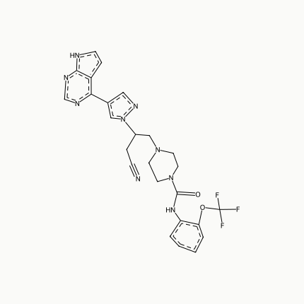 N#CCC(CN1CCN(C(=O)Nc2ccccc2OC(F)(F)F)CC1)n1cc(-c2ncnc3[nH]ccc23)cn1